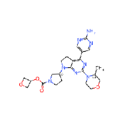 C[C@H]1COCCN1c1nc(-c2cnc(N)nc2)c2c(n1)N([C@H]1CCN(C(=O)OC3COC3)C1)CC2